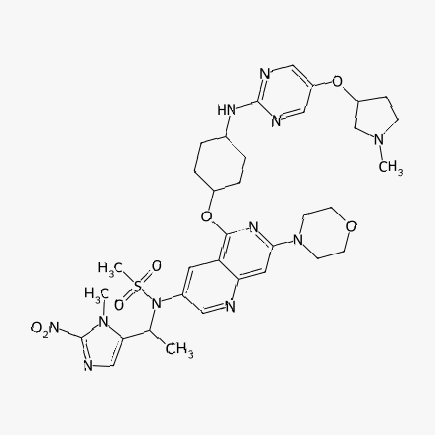 CC(c1cnc([N+](=O)[O-])n1C)N(c1cnc2cc(N3CCOCC3)nc(OC3CCC(Nc4ncc(OC5CCN(C)C5)cn4)CC3)c2c1)S(C)(=O)=O